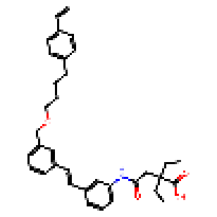 C=Cc1ccc(CCCCOCc2cccc(C=Cc3cccc(NC(=O)CC(CC)(CC)C(=O)O)c3)c2)cc1